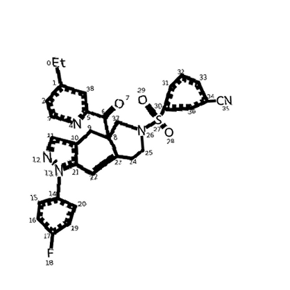 CCc1ccnc(C(=O)C23Cc4cnn(-c5ccc(F)cc5)c4C=C2CCN(S(=O)(=O)c2cccc(C#N)c2)C3)c1